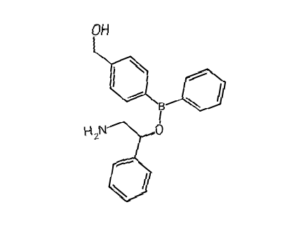 NCC(OB(c1ccccc1)c1ccc(CO)cc1)c1ccccc1